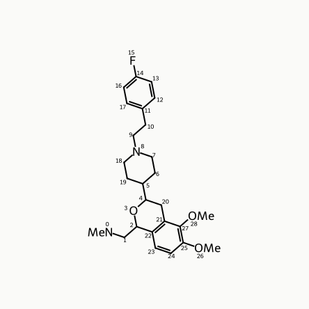 CNCC1OC(C2CCN(CCc3ccc(F)cc3)CC2)Cc2c1ccc(OC)c2OC